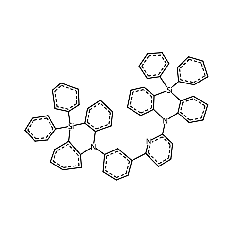 c1ccc([Si]2(c3ccccc3)c3ccccc3N(c3cccc(-c4cccc(N5c6ccccc6[Si](c6ccccc6)(c6ccccc6)c6ccccc65)n4)c3)c3ccccc32)cc1